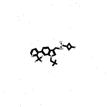 CC(C)(C)Cn1cc(CN[S+]([O-])C2CC(F)C2)c2ccc(-c3cccnc3C(F)(F)F)cc21